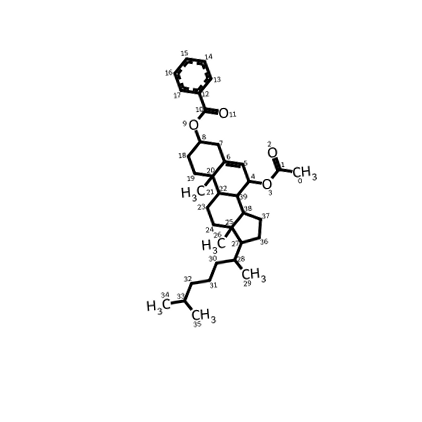 CC(=O)OC1C=C2CC(OC(=O)c3ccccc3)CCC2(C)C2CCC3(C)C(C(C)CCCC(C)C)CCC3C12